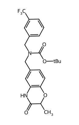 CC1Oc2ccc(CN(Cc3cccc(C(F)(F)F)c3)C(=O)OC(C)(C)C)cc2NC1=O